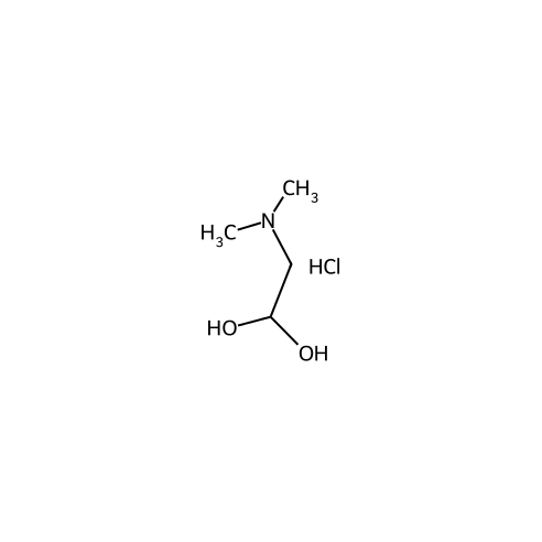 CN(C)CC(O)O.Cl